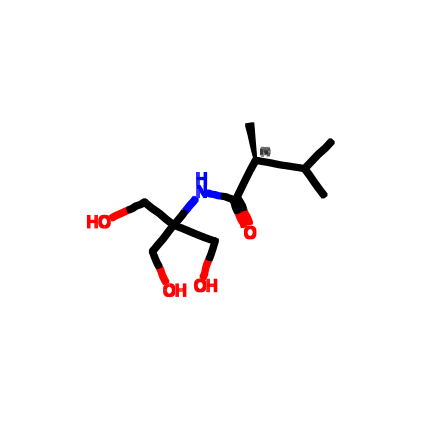 CC(C)[C@H](C)C(=O)NC(CO)(CO)CO